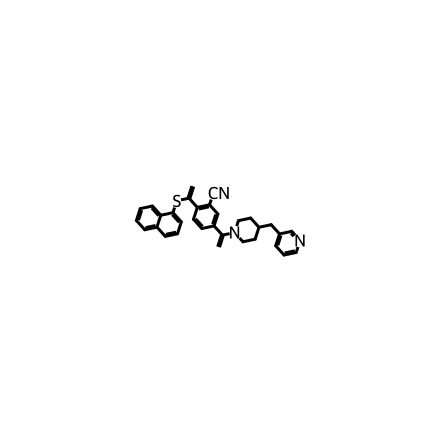 C=C(Sc1cccc2ccccc12)c1ccc(C(=C)N2CCC(Cc3cccnc3)CC2)cc1C#N